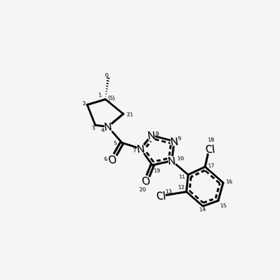 C[C@H]1CCN(C(=O)n2nnn(-c3c(Cl)cccc3Cl)c2=O)C1